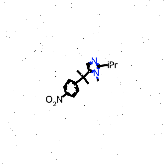 CC(C)c1ncc(C(C)(C)c2ccc([N+](=O)[O-])cc2)n1C